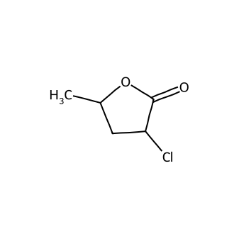 CC1CC(Cl)C(=O)O1